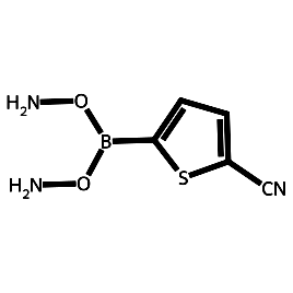 N#Cc1ccc(B(ON)ON)s1